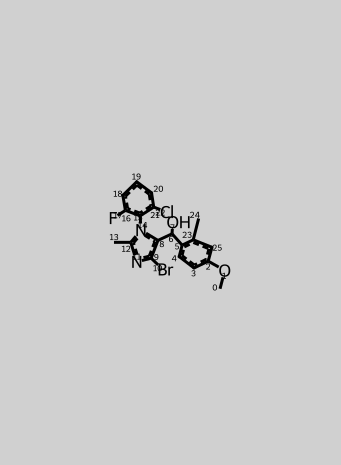 COc1ccc(C(O)c2c(Br)nc(C)n2-c2c(F)cccc2Cl)c(C)c1